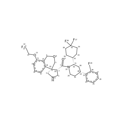 O=C([C@@H]1CNC[C@]12COCc1c(OCC(F)(F)F)cccc12)N1CC[C@@H](c2ccccc2F)C[C@H]1C1CCC(F)(F)CC1